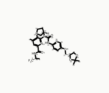 Cc1cc(C(=O)N[C@H](C)C(F)(F)F)nc2c1N1CC[C@@H](C1)N2C(=O)Nc1ccc(OC[C@@H]2COC(C)(C)O2)cn1